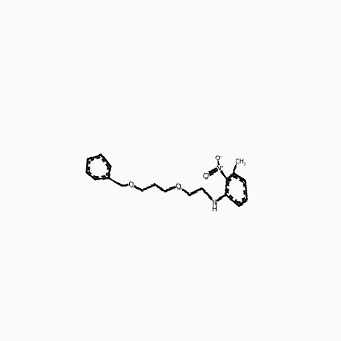 Cc1cccc(NCCOCCCOCc2ccccc2)c1[N+](=O)[O-]